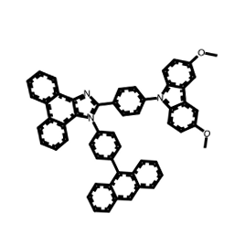 COc1ccc2c(c1)c1cc(OC)ccc1n2-c1ccc(-c2nc3c4ccccc4c4ccccc4c3n2-c2ccc(-c3c4ccccc4cc4ccccc34)cc2)cc1